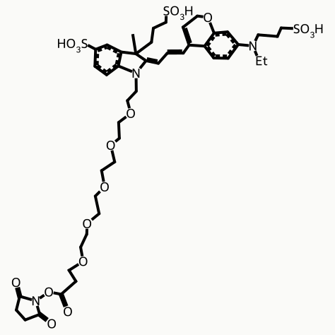 CCN(CCCS(=O)(=O)O)c1ccc2c(c1)OCC=C2/C=C/C=C1/N(CCOCCOCCOCCOCCOCCC(=O)ON2C(=O)CCC2=O)c2ccc(S(=O)(=O)O)cc2C1(C)CCCS(=O)(=O)O